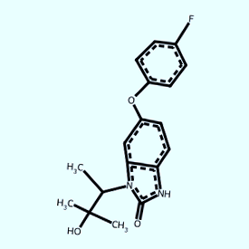 CC(n1c(=O)[nH]c2ccc(Oc3ccc(F)cc3)cc21)C(C)(C)O